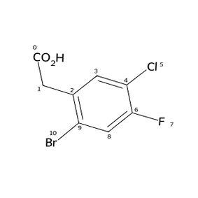 O=C(O)Cc1cc(Cl)c(F)cc1Br